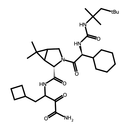 CC(C)(C)CC(C)(C)NC(=O)N[C@H](C(=O)N1CC2C([C@H]1C(=O)NC(CC1CCC1)C(=O)C(N)=O)C2(C)C)C1CCCCC1